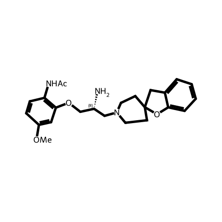 COc1ccc(NC(C)=O)c(OC[C@H](N)CN2CCC3(CC2)Cc2ccccc2O3)c1